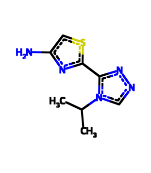 CC(C)n1cnnc1-c1nc(N)cs1